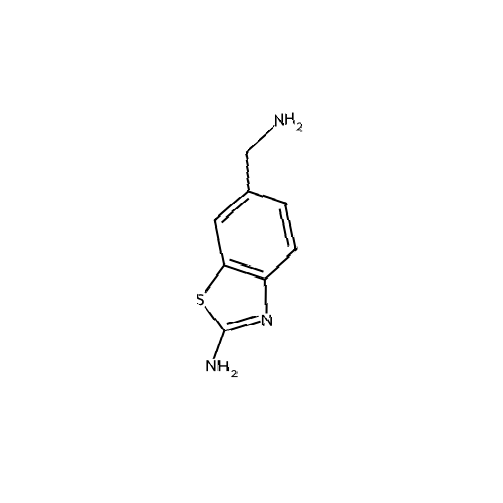 NCc1ccc2nc(N)sc2c1